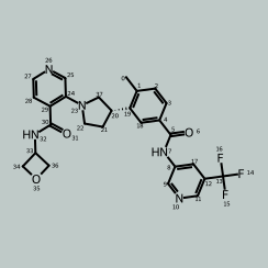 Cc1ccc(C(=O)Nc2cncc(C(F)(F)F)c2)cc1[C@@H]1CCN(c2cnccc2C(=O)NC2COC2)C1